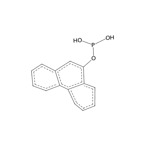 OP(O)Oc1cc2ccccc2c2ccccc12